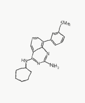 CSc1cccc(-c2cccc3c(NC4CCCCC4)nc(N)nc23)c1